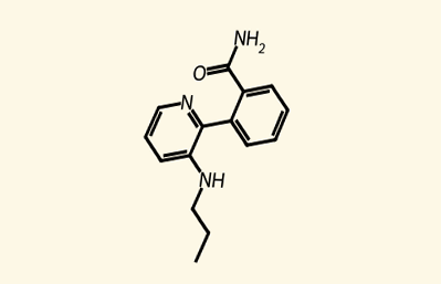 CCCNc1cccnc1-c1ccccc1C(N)=O